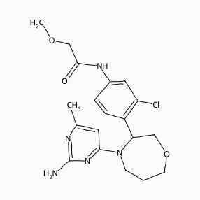 COCC(=O)Nc1ccc(C2COCCCN2c2cc(C)nc(N)n2)c(Cl)c1